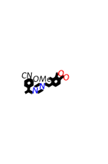 COc1cc(C(C)CN2CCN(CCc3ccc4c(c3C)COC4=O)CC2)ccc1C#N